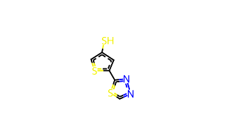 Sc1csc(-c2nncs2)c1